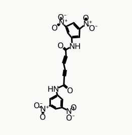 O=C(C#CC#CC(=O)Nc1cc([N+](=O)[O-])cc([N+](=O)[O-])c1)Nc1cc([N+](=O)[O-])cc([N+](=O)[O-])c1